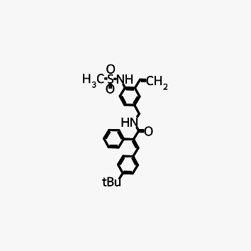 C=Cc1cc(CNC(=O)C(=Cc2ccc(C(C)(C)C)cc2)c2ccccc2)ccc1NS(C)(=O)=O